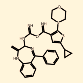 C=C1Nc2ccccc2C(c2ccccc2)=NC1NC(=N)OC(=N)c1cc(C2CC2)sc1N1CCOCC1